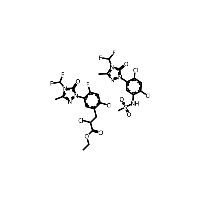 CCOC(=O)C(Cl)Cc1cc(-n2nc(C)n(C(F)F)c2=O)c(F)cc1Cl.Cc1nn(-c2cc(NS(C)(=O)=O)c(Cl)cc2Cl)c(=O)n1C(F)F